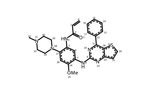 C=CC(=O)Nc1cc(Nc2nc(-c3ccccc3)c3sccc3n2)c(OC)cc1N1CCN(C)CC1